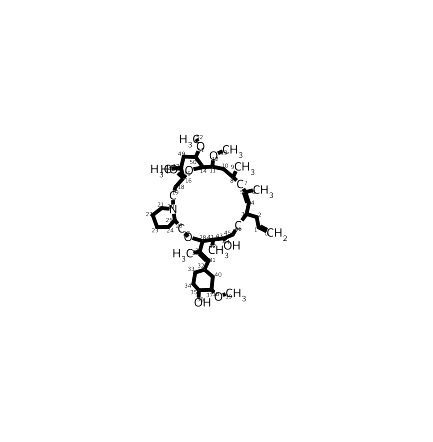 C=CCC1C=C(C)CC(C)CC(OC)C2OC(O)(CCN3CCCCC3COC(C(C)=CC3CCC(O)C(OC)C3)C(C)C(O)CC1)C(C)CC2OC